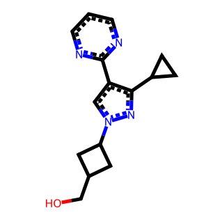 OCC1CC(n2cc(-c3ncccn3)c(C3CC3)n2)C1